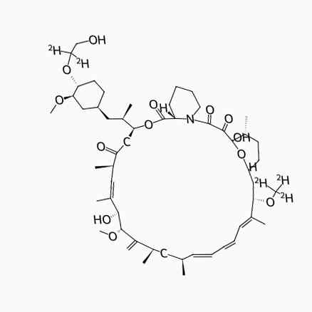 [2H]C([2H])([2H])O[C@H]1C[C@@H]2CC[C@@H](C)[C@@](O)(O2)C(=O)C(=O)N2CCCC[C@H]2C(=O)O[C@H]([C@H](C)C[C@@H]2CC[C@@H](OC([2H])([2H])CO)[C@H](OC)C2)CC(=O)[C@H](C)/C=C(\C)[C@@H](O)[C@@H](OC)C(=C)[C@H](C)C[C@H](C)/C=C/C=C/C=C/1C